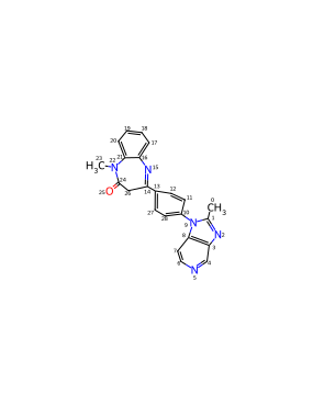 Cc1nc2cnccc2n1-c1ccc(C2=Nc3ccccc3N(C)C(=O)C2)cc1